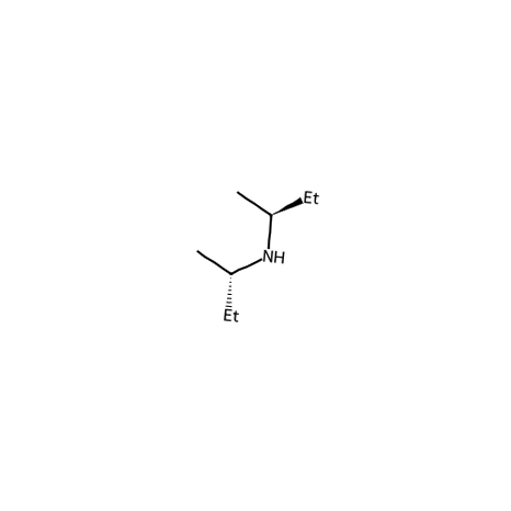 CC[C@H](C)N[C@@H](C)CC